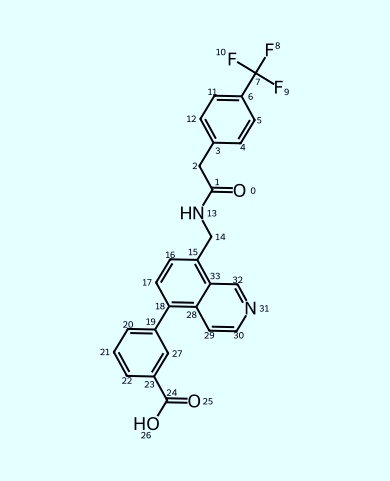 O=C(Cc1ccc(C(F)(F)F)cc1)NCc1ccc(-c2cccc(C(=O)O)c2)c2ccncc12